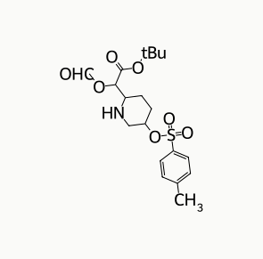 Cc1ccc(S(=O)(=O)OC2CCC(C(OC=O)C(=O)OC(C)(C)C)NC2)cc1